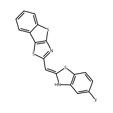 Fc1ccc2c(c1)N/C(=C/c1nc3sc4ccccc4c3s1)S2